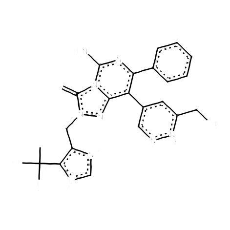 Nc1nc(-c2ccccc2)c(-c2cnnc(CO)c2)c2nn(Cc3ncoc3C(F)(F)F)c(=O)n12